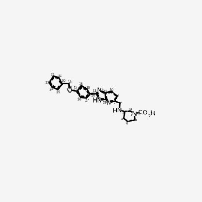 O=C(O)N1CCCC(NCc2ccc3nc(-c4ccc(OCc5ccccc5)cc4)[nH]c3n2)C1